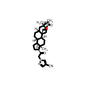 C[C@@]1(O)CC[C@@]2(C=NS(C)(=O)=O)[C@H](CC[C@H]3[C@@H]4CC[C@H](C(=O)Cn5cc(C#N)cn5)[C@@]4(C)CC[C@@H]32)C1